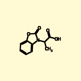 CC(C(=O)O)n1c(=O)oc2ccccc21